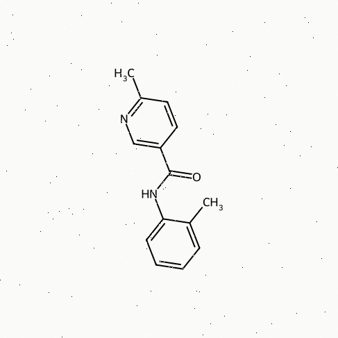 Cc1ccc(C(=O)Nc2ccccc2C)cn1